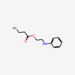 N#CCCC(=O)OCCNc1ccccc1